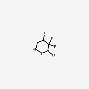 CCN1SNCC(F)C1(F)F